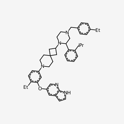 CCc1ccc(CN2CCN(C3CC4(CCN(c5ccc(CC)c(Oc6cnc7[nH]ccc7c6)c5)CC4)C3)C(c3ccccc3C(C)C)C2)cc1